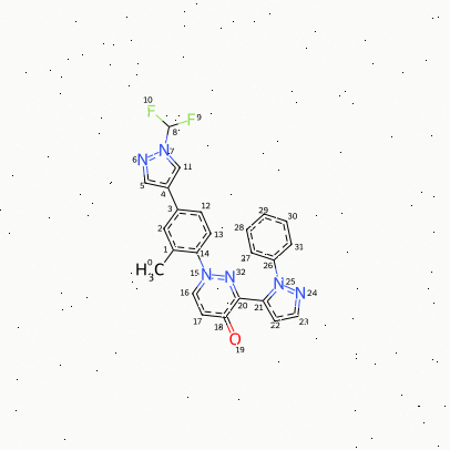 Cc1cc(-c2cnn(C(F)F)c2)ccc1-n1ccc(=O)c(-c2ccnn2-c2ccccc2)n1